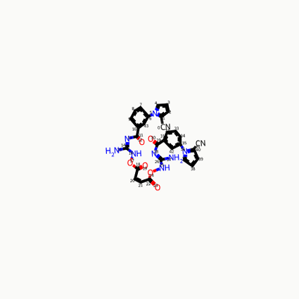 N#Cc1cccn1-c1cccc(C(=O)N=C(N)NOC(=O)/C=C\C(=O)ONC(N)=NC(=O)c2cccc(-n3cccc3C#N)c2)c1